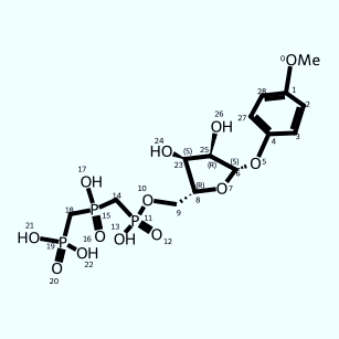 COc1ccc(O[C@@H]2O[C@H](COP(=O)(O)CP(=O)(O)CP(=O)(O)O)[C@@H](O)[C@H]2O)cc1